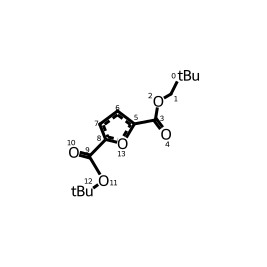 CC(C)(C)COC(=O)c1ccc(C(=O)OC(C)(C)C)o1